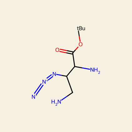 CC(C)(C)OC(=O)C(N)C(CN)N=[N+]=[N-]